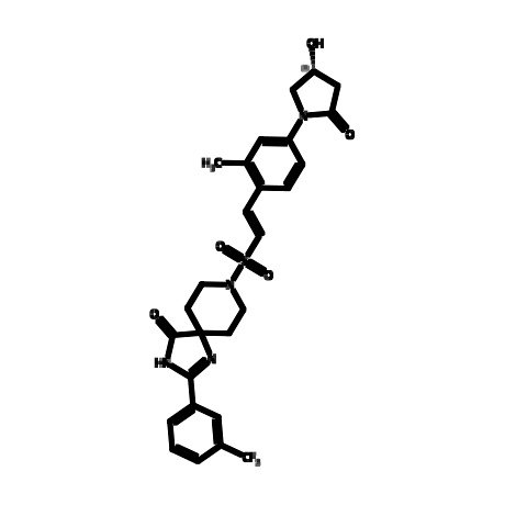 Cc1cc(N2C[C@H](O)CC2=O)ccc1C=CS(=O)(=O)N1CCC2(CC1)N=C(c1cccc(C(F)(F)F)c1)NC2=O